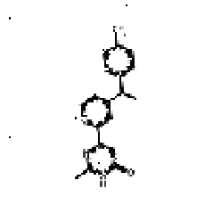 Cc1nc(-c2cc(C(C)c3ccc(C(F)(F)F)cc3)ccn2)cc(=O)[nH]1